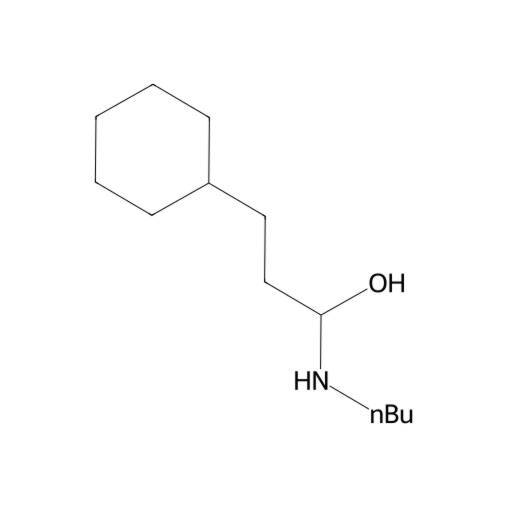 CCCCNC(O)CCC1CCCCC1